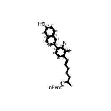 CCCCCOC(C)CCC/C=C/c1ccc(-c2cc3ccc(O)cc3cn2)c(F)c1F